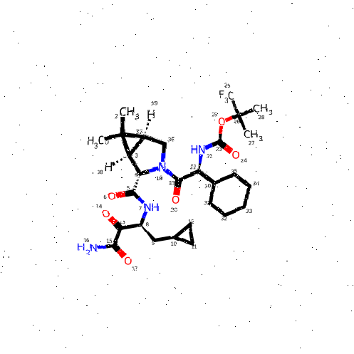 CC1(C)[C@@H]2[C@@H](C(=O)N[C@@H](CC3CC3)C(=O)C(N)=O)N(C(=O)[C@@H](NC(=O)OC(C)(C)C(F)(F)F)C3CCCCC3)C[C@@H]21